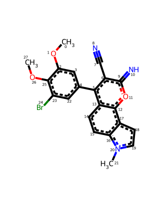 COc1cc(-c2c(C#N)c(=N)oc3c2ccc2c3ccn2C)cc(Br)c1OC